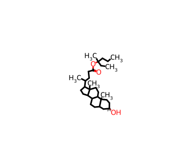 CCCC(C)(CC)OC(=O)CCC(C)C1CCC2C3CCC4C[C@H](O)CCC4(C)C3CCC12C